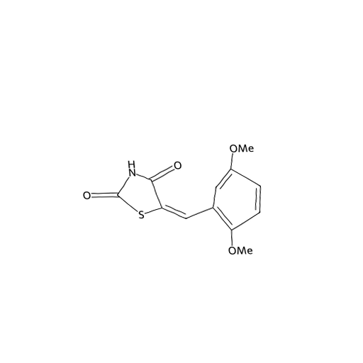 COc1ccc(OC)c(C=C2SC(=O)NC2=O)c1